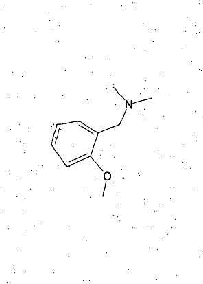 COc1cc[c]cc1CN(C)C